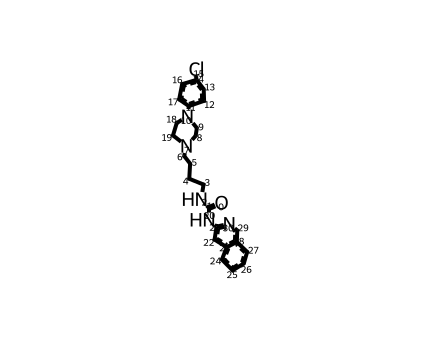 O=C(NCCCCN1CCN(c2ccc(Cl)cc2)CC1)Nc1cc2ccccc2cn1